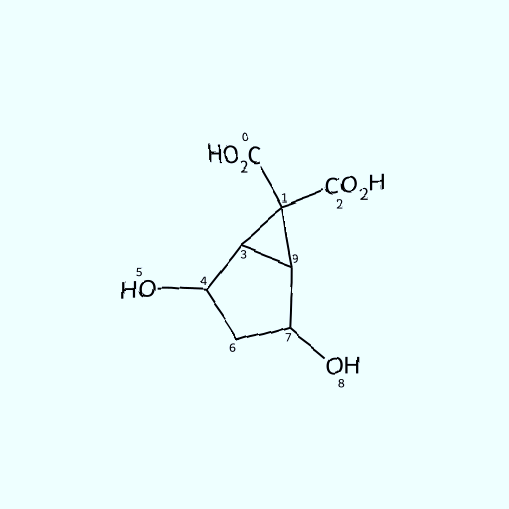 O=C(O)C1(C(=O)O)C2C(O)CC(O)C21